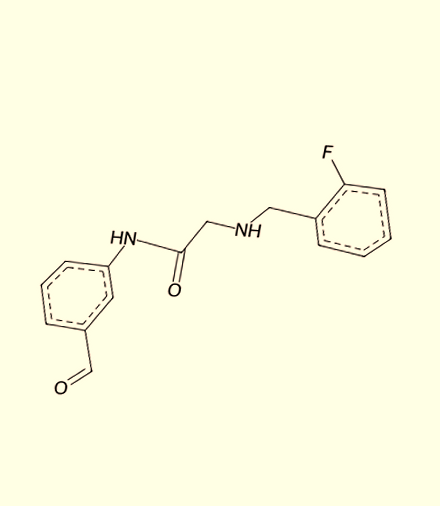 O=Cc1cccc(NC(=O)CNCc2ccccc2F)c1